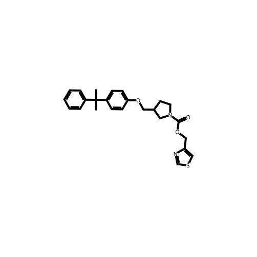 CC(C)(c1ccccc1)c1ccc(OCC2CCN(C(=O)OCc3cscn3)C2)cc1